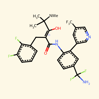 CNC(C)(C)/C(O)=C(\Cc1cccc(F)c1F)C(=O)Nc1ccc(C(N)(F)F)cc1-c1cncc(C(F)(F)F)c1